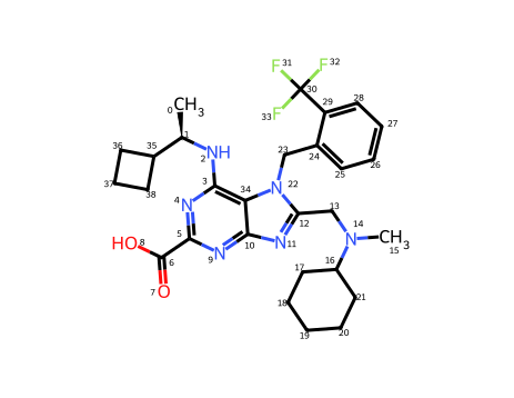 C[C@@H](Nc1nc(C(=O)O)nc2nc(CN(C)C3CCCCC3)n(Cc3ccccc3C(F)(F)F)c12)C1CCC1